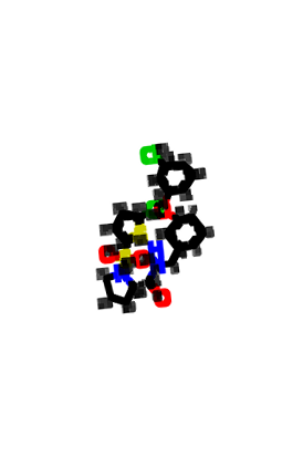 O=C(NCc1cccc(Oc2cccc(Cl)c2)c1)[C@@H]1CCCN1S(=O)(=O)c1ccc(Cl)s1